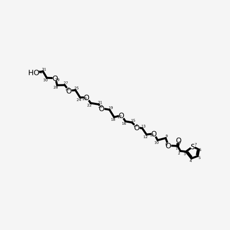 O=C(Cc1cccs1)OCCOCCOCCOCCOCCOCCOCCOCCO